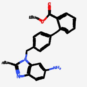 CCCCc1nc2ccc(N)cc2n1Cc1ccc(-c2ccccc2C(=O)OC(C)(C)C)cc1